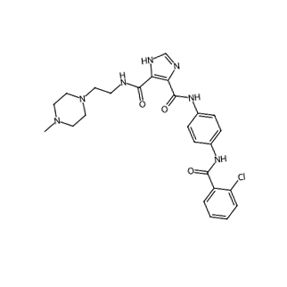 CN1CCN(CCNC(=O)c2[nH]cnc2C(=O)Nc2ccc(NC(=O)c3ccccc3Cl)cc2)CC1